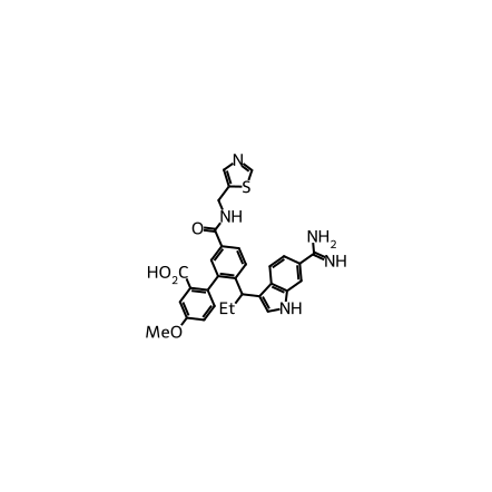 CCC(c1ccc(C(=O)NCc2cncs2)cc1-c1ccc(OC)cc1C(=O)O)c1c[nH]c2cc(C(=N)N)ccc12